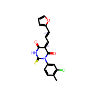 Cc1ccc(N2C(=O)/C(=C/C=C/c3ccco3)C(=O)NC2=S)cc1Cl